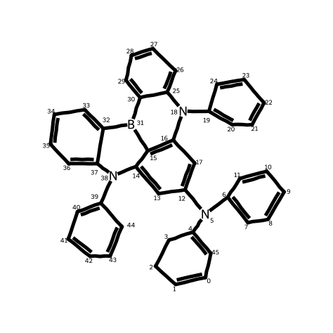 C1=CCCC(N(c2ccccc2)c2cc3c4c(c2)N(c2ccccc2)c2ccccc2B4c2ccccc2N3c2ccccc2)=C1